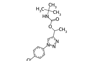 CC(OC(=O)NC(C)(C)C)c1cn(-c2ccc(Cl)cc2)nn1